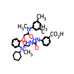 Cc1cc(C)cc(N(C)C(=O)COc2ccccc2[N+](C)(C(=O)CNC(=O)Nc2cccc(C(=O)O)c2)C2CCCCC2)c1